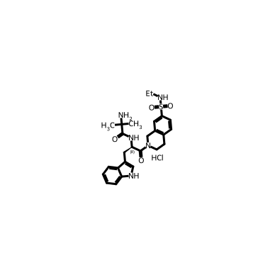 CCNS(=O)(=O)c1ccc2c(c1)CN(C(=O)[C@@H](Cc1c[nH]c3ccccc13)NC(=O)C(C)(C)N)CC2.Cl